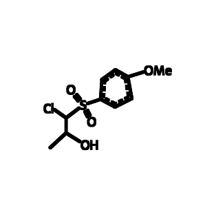 COc1ccc(S(=O)(=O)C(Cl)C(C)O)cc1